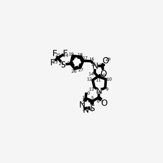 Cc1nnsc1C(=O)N1CCC2(CC1)CN(Cc1ccc(SC(F)(F)F)cc1)C(=O)O2